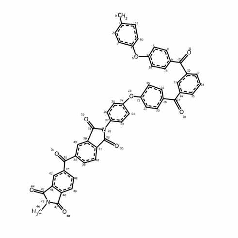 Cc1ccc(Oc2ccc(C(=O)c3cccc(C(=O)c4ccc(Oc5ccc(N6C(=O)c7ccc(C(=O)c8ccc9c(c8)C(=O)N(C)C9=O)cc7C6=O)cc5)cc4)c3)cc2)cc1